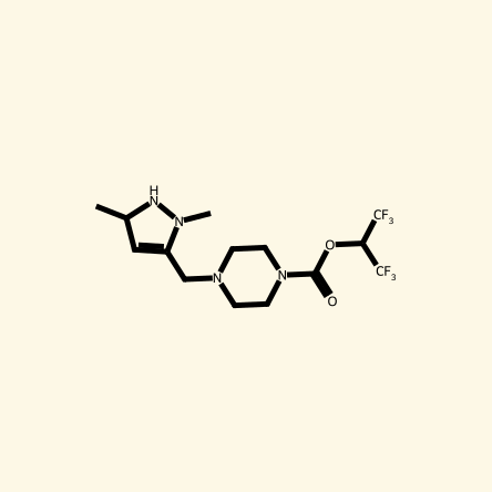 CC1C=C(CN2CCN(C(=O)OC(C(F)(F)F)C(F)(F)F)CC2)N(C)N1